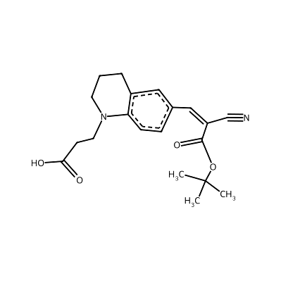 CC(C)(C)OC(=O)C(C#N)=Cc1ccc2c(c1)CCCN2CCC(=O)O